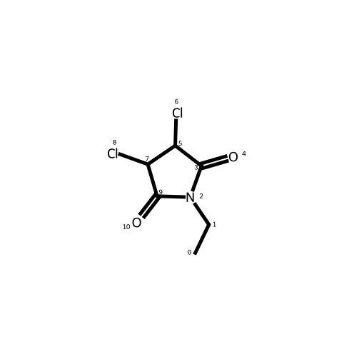 CCN1C(=O)C(Cl)C(Cl)C1=O